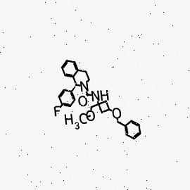 COCC1(NC(=O)N2CCc3ccccc3[C@@H]2c2ccc(F)cc2)CC(OCc2ccccc2)C1